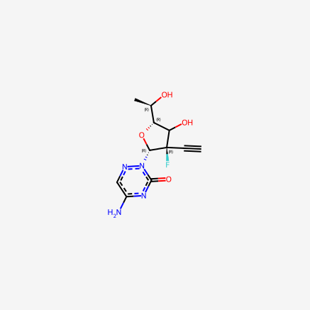 C#C[C@@]1(F)C(O)[C@@H]([C@@H](C)O)O[C@H]1n1ncc(N)nc1=O